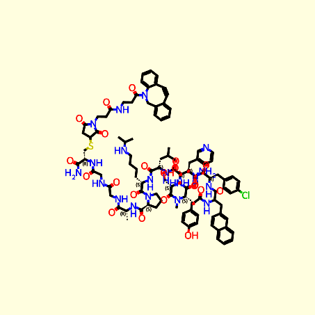 CC(=O)NC(Cc1ccc2ccccc2c1)C(=O)N[C@H](Cc1ccc(Cl)cc1)C(=O)N[C@H](Cc1cccnc1)C(=O)N[C@@H](CO)C(=O)N(C)[C@@H](Cc1ccc(O)cc1)C(=O)N[C@H](CC(N)=O)C(=O)N[C@@H](CC(C)C)C(=O)N[C@@H](CCCCNC(C)C)C(=O)N1CCC[C@H]1C(=O)N[C@H](C)C(=O)NCC(=O)NCC(=O)N[C@@H](CSC1CC(=O)N(CCC(=O)NCCC(=O)N2Cc3ccccc3C#Cc3ccccc32)C1=O)C(N)=O